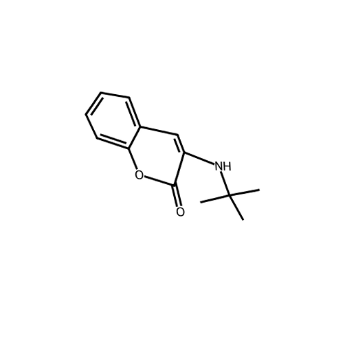 CC(C)(C)Nc1cc2ccccc2oc1=O